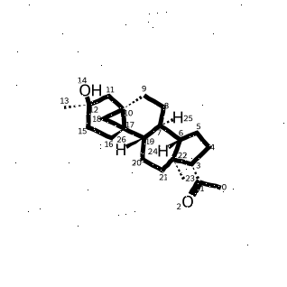 CC(=O)[C@H]1CC[C@H]2[C@@H]3CC[C@]45C[C@](C)(O)CC[C@]4(C5)[C@H]3CC[C@]12C